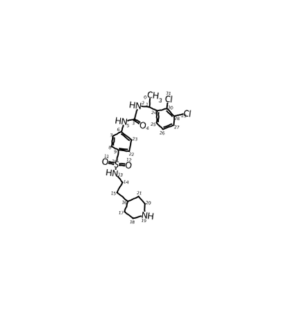 CC(NC(=O)Nc1ccc(S(=O)(=O)NCCC2CCNCC2)cc1)c1cccc(Cl)c1Cl